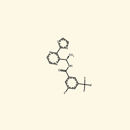 C[C@@H](NC(=O)c1cc(F)cc(C(F)(F)F)c1)c1nccnc1-c1nccs1